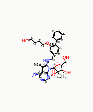 CC1(O)C(O)C(CO)OC1n1c(NCc2ccc(-c3ccccc3)c(OCCCCO)c2)c(C#N)c2c(N)ncnc21